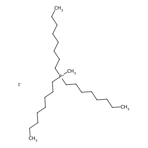 CCCCCCCC[P+](C)(CCCCCCCC)CCCCCCCC.[I-]